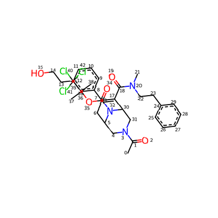 CC(=O)N1CC2CC(c3cccc(CCO)c3)=C(C(=O)N(C)CCc3ccccc3)C(C1)N2C(=O)OC(C)(C)C(Cl)(Cl)Cl